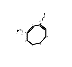 C1=CCCCCC=C1.[I-].[I-].[I-].[Ir+3]